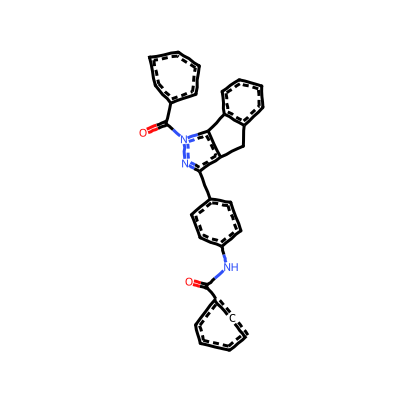 O=C(Nc1ccc(-c2nn(C(=O)c3ccccc3)c3c2Cc2ccccc2-3)cc1)c1ccccc1